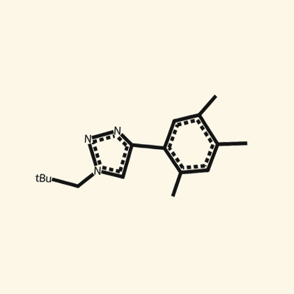 Cc1cc(C)c(-c2cn(CC(C)(C)C)nn2)cc1C